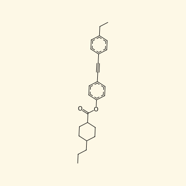 CCCC1CCC(C(=O)Oc2ccc(C#Cc3ccc(CC)cc3)cc2)CC1